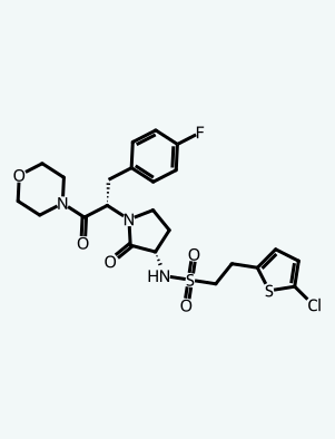 O=C([C@H](Cc1ccc(F)cc1)N1CC[C@H](NS(=O)(=O)CCc2ccc(Cl)s2)C1=O)N1CCOCC1